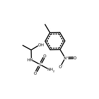 CC(O)NS(N)(=O)=O.Cc1ccc([N+](=O)[O-])cc1